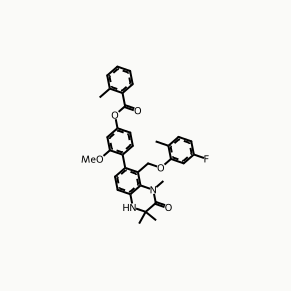 COc1cc(OC(=O)c2ccccc2C)ccc1-c1ccc2c(c1COc1cc(F)ccc1C)N(C)C(=O)C(C)(C)N2